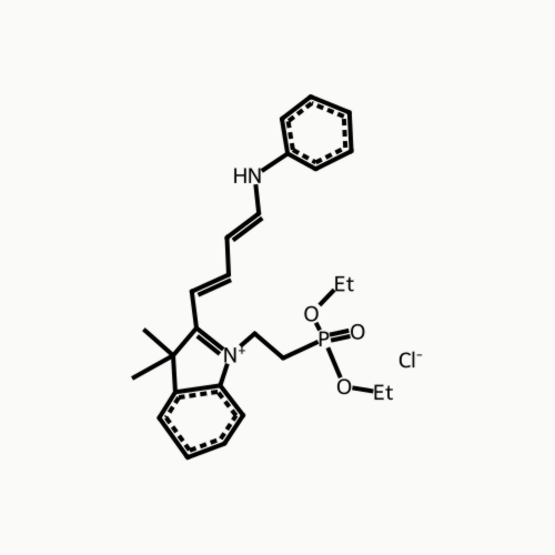 CCOP(=O)(CC[N+]1=C(/C=C/C=C/Nc2ccccc2)C(C)(C)c2ccccc21)OCC.[Cl-]